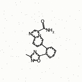 Cc1noc(-c2ccccc2-c2ccc3ncc(C(N)=O)n3c2)n1